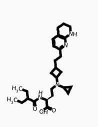 CCC(CC)C(=O)N[C@@H](CCN(C1CC1)C1CC(CCc2ccc3c(n2)NCCC3)C1)C(=O)O